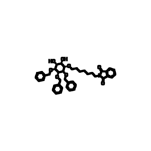 O=C1c2ccccc2C(=O)N1CCCCCCCO[C@H]1[C@@H](O)[C@@H](O)[C@H](OCc2ccccc2)[C@@H](OCc2ccccc2)[C@@H]1OCc1ccccc1